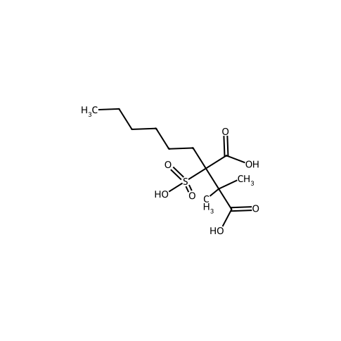 CCCCCCC(C(=O)O)(C(C)(C)C(=O)O)S(=O)(=O)O